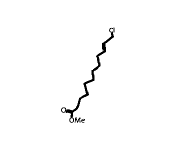 COC(=O)CCCCCCCCC=CCCl